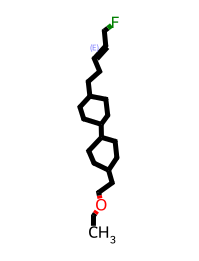 CCOCCC1CCC(C2CCC(CC/C=C/CF)CC2)CC1